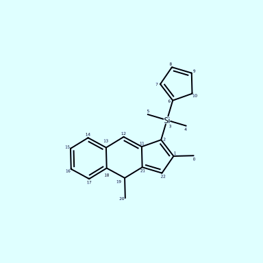 CC1=C([Si](C)(C)C2=CC=CC2)C2=Cc3ccccc3C(C)C2=C1